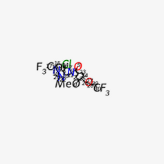 COc1cc(C(=O)N2CCC3(CC2)c2c(Cl)cc(C(F)(F)F)n2CCN3C)ccc1COCCC(F)(F)F